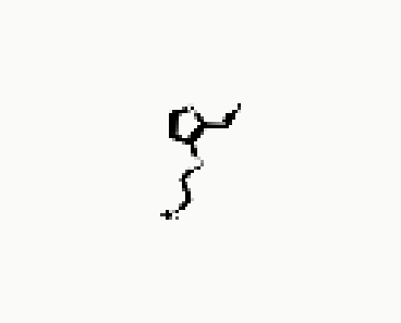 O=Cc1sccc1OCCO